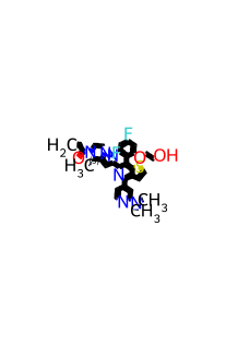 C=CC(=O)N1CCn2nc(-c3nc(-c4ccnc(N(C)C)c4)c4ccsc4c3-c3c(F)cc(F)cc3OCCO)cc2[C@@H]1C